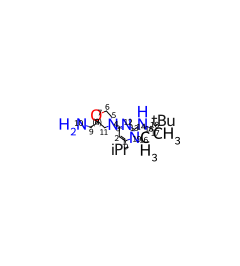 CC(C)c1cc(N2CCO[C@H](CN)C2)nc(NC(C)(C)C(C)(C)C)n1